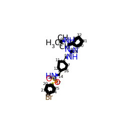 CC(C)(C)Nc1nc(NC[C@H]2CC[C@H](CNS(=O)(=O)c3ccc(Br)cc3)CC2)nc2ccccc12